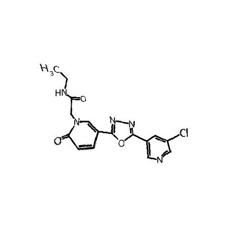 CCNC(=O)Cn1cc(-c2nnc(-c3cncc(Cl)c3)o2)ccc1=O